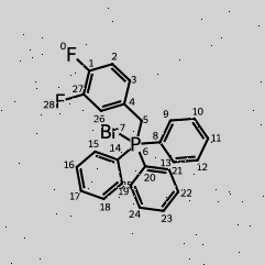 Fc1ccc(CP(Br)(c2ccccc2)(c2ccccc2)c2ccccc2)cc1F